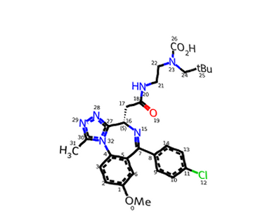 COc1ccc2c(c1)C(c1ccc(Cl)cc1)=N[C@@H](CC(=O)NCCN(CC(C)(C)C)C(=O)O)c1nnc(C)n1-2